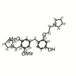 COc1cc(Cc2[c]cc(O)cc2OCCN2CCCC2)cc(OC)c1CN1CCCC1